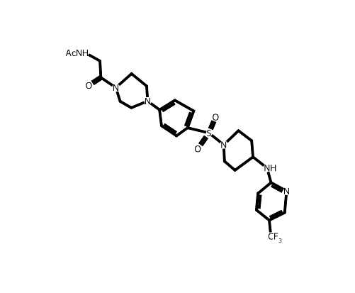 CC(=O)NCC(=O)N1CCN(c2ccc(S(=O)(=O)N3CCC(Nc4ccc(C(F)(F)F)cn4)CC3)cc2)CC1